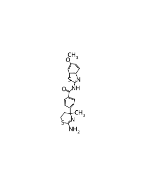 COc1ccc2nc(NC(=O)c3ccc(C4(C)CCSC(N)=N4)cc3)sc2c1